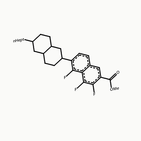 CCCCCCCC1CCC2CC(c3ccc4cc(C(=O)OC)c(F)c(F)c4c3F)CCC2C1